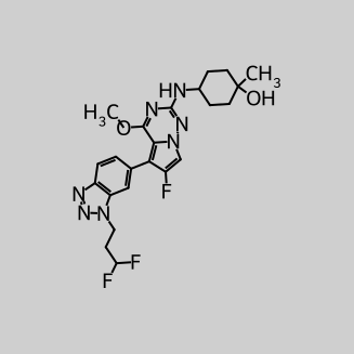 COc1nc(NC2CCC(C)(O)CC2)nn2cc(F)c(-c3ccc4nnn(CCC(F)F)c4c3)c12